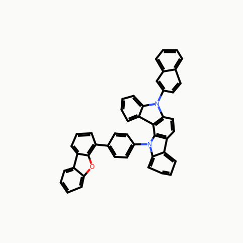 c1ccc2cc(-n3c4ccccc4c4c3ccc3c5ccccc5n(-c5ccc(-c6cccc7c6oc6ccccc67)cc5)c34)ccc2c1